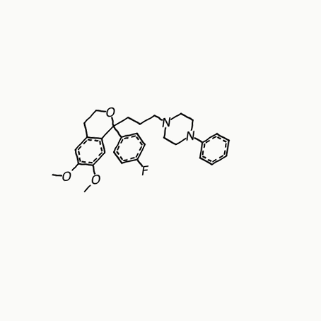 COc1cc2c(cc1OC)C(CCCN1CCN(c3ccccc3)CC1)(c1ccc(F)cc1)OCC2